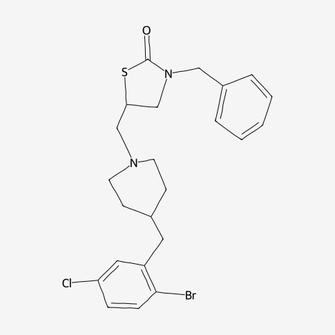 O=C1SC(CN2CCC(Cc3cc(Cl)ccc3Br)CC2)CN1Cc1ccccc1